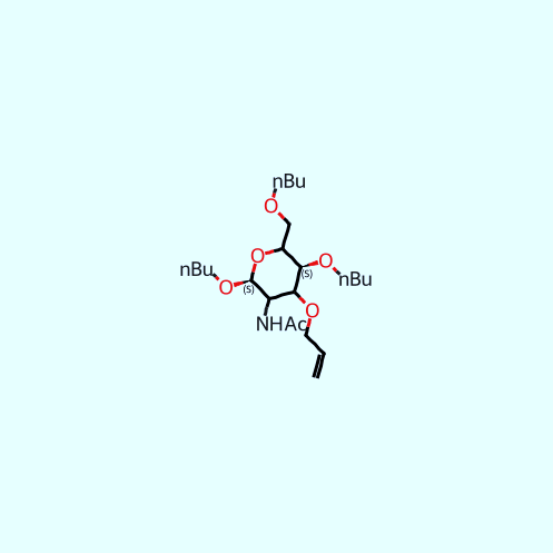 C=CCOC1C(NC(C)=O)[C@@H](OCCCC)OC(COCCCC)[C@H]1OCCCC